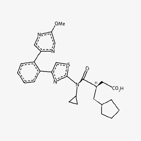 COc1cnc(-c2ccccc2-c2csc(N(C(=O)[C@@H](CC(=O)O)CC3CCCC3)C3CC3)n2)cn1